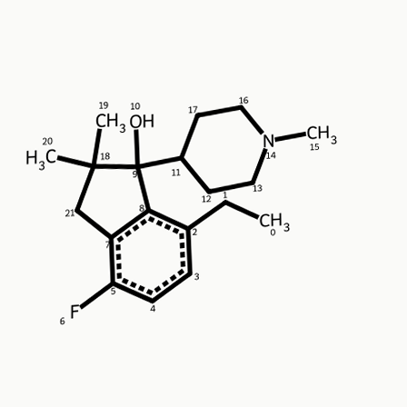 CCc1ccc(F)c2c1C(O)(C1CCN(C)CC1)C(C)(C)C2